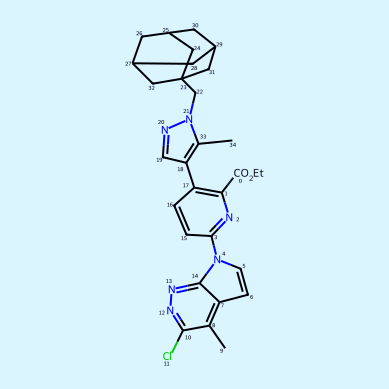 CCOC(=O)c1nc(-n2ccc3c(C)c(Cl)nnc32)ccc1-c1cnn(CC23CC4CC(CC(C4)C2)C3)c1C